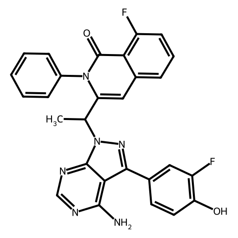 CC(c1cc2cccc(F)c2c(=O)n1-c1ccccc1)n1nc(-c2ccc(O)c(F)c2)c2c(N)ncnc21